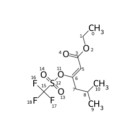 CCOC(=O)/C=C(/CC(C)C)OS(=O)(=O)C(F)(F)F